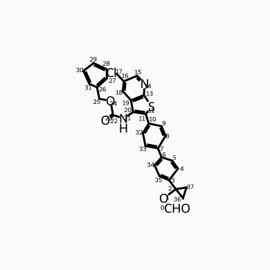 O=COC1(c2ccc(-c3ccc(-c4sc5ncc(Cl)cc5c4NC(=O)OCc4ccccc4)cc3)cc2)CC1